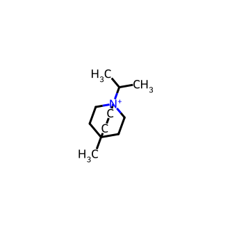 CC(C)[N+]12CCC(C)(CC1)CC2